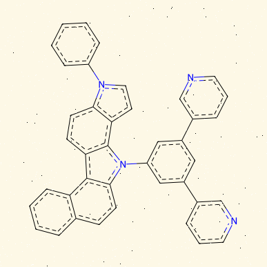 c1ccc(-n2ccc3c2ccc2c4c5ccccc5ccc4n(-c4cc(-c5cccnc5)cc(-c5cccnc5)c4)c23)cc1